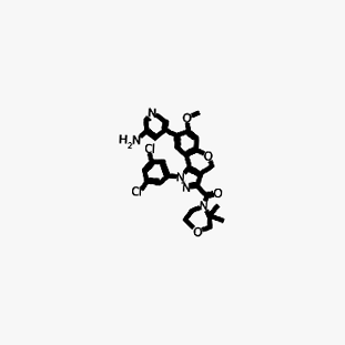 COc1cc2c(cc1-c1cncc(N)c1)-c1c(c(C(=O)N3CCOCC3(C)C)nn1-c1cc(Cl)cc(Cl)c1)CO2